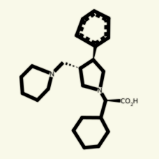 O=C(O)[C@@H](C1CCCCC1)N1C[C@H](CN2CCCCC2)[C@@H](c2ccccc2)C1